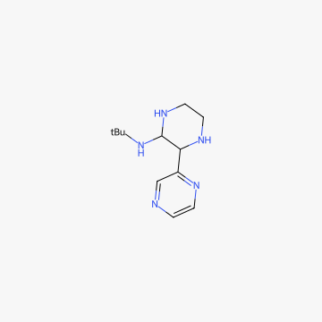 CC(C)(C)NC1NCCNC1c1cnccn1